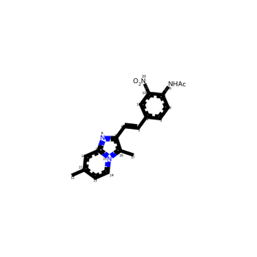 CC(=O)Nc1ccc(/C=C/c2nc3cc(C)ccn3c2C)cc1[N+](=O)[O-]